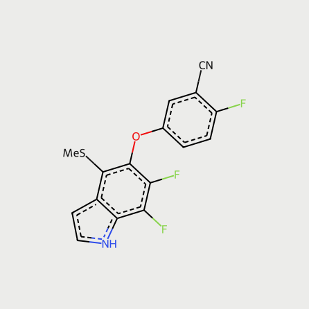 CSc1c(Oc2ccc(F)c(C#N)c2)c(F)c(F)c2[nH]ccc12